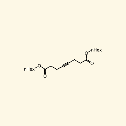 CCCCCCOC(=O)CCC#CCCC(=O)OCCCCCC